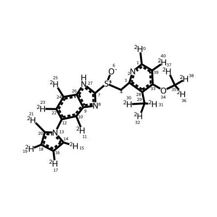 [2H]c1nc(C[S+]([O-])c2nc3c([2H])c(-n4c([2H])c([2H])c([2H])c4[2H])c([2H])c([2H])c3[nH]2)c(C([2H])([2H])[2H])c(OC([2H])([2H])[2H])c1[2H]